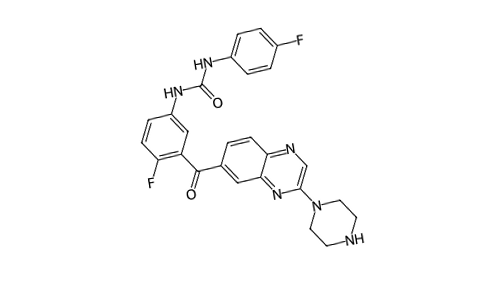 O=C(Nc1ccc(F)cc1)Nc1ccc(F)c(C(=O)c2ccc3ncc(N4CCNCC4)nc3c2)c1